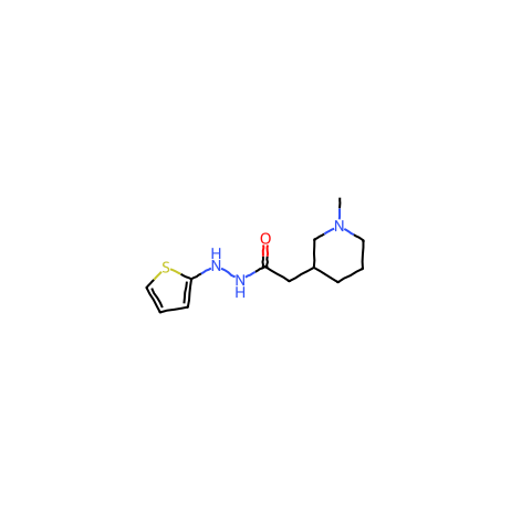 CN1CCCC(CC(=O)NNc2cccs2)C1